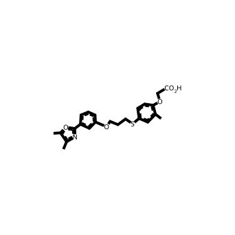 Cc1cc(SCCCOc2cccc(-c3nc(C)c(C)o3)c2)ccc1OCC(=O)O